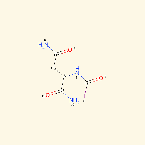 NC(=O)C[C@H](NC(=O)I)C(N)=O